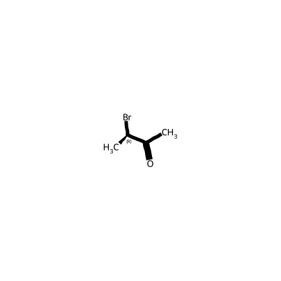 CC(=O)[C@@H](C)Br